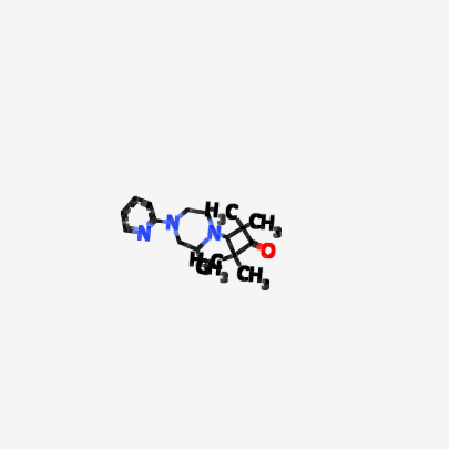 CC1CN(c2ccccn2)CCN1C1C(C)(C)C(=O)C1(C)C